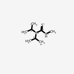 CNC(=S)N(C(C)C)C(C)C